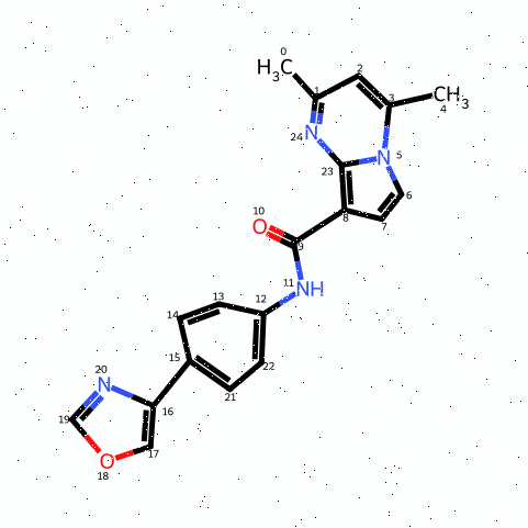 Cc1cc(C)n2ccc(C(=O)Nc3ccc(-c4cocn4)cc3)c2n1